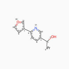 CC(C)C(O)c1ccc(-c2ccoc2)nc1